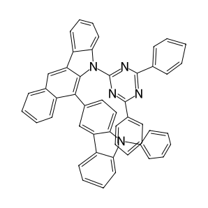 c1ccc(-c2nc(-c3ccccc3)nc(-n3c4ccccc4c4cc5ccccc5c(-c5ccc6c(c5)c5ccccc5n6-c5ccccc5)c43)n2)cc1